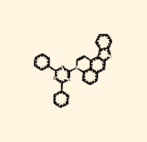 C1=CN(c2nc(-c3ccccc3)nc(-c3ccccc3)n2)c2cccc3cc4sc5ccccc5c4c1c23